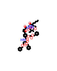 CCCCCC(C(=O)NCNC(=O)c1ccc(-c2ccc(C(=O)NC(CC(=O)OCc3ccccc3)C(=O)OCc3ccccc3)c(OCC(=O)OCc3ccccc3)c2)o1)[C@@H](CC)N(C=O)OC(=O)C(CC)CC